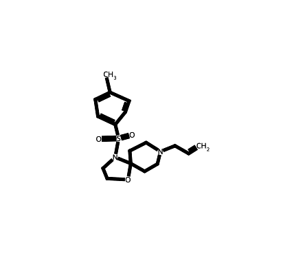 C=CCN1CCC2(CC1)OCCN2S(=O)(=O)c1ccc(C)cc1